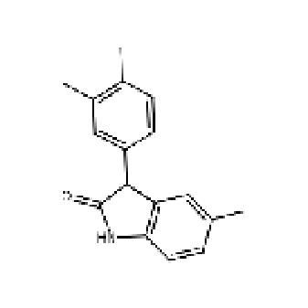 Cc1ccc2c(c1)C(c1ccc(C)c(C)c1)C(=O)N2